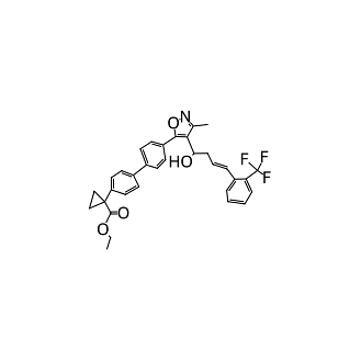 CCOC(=O)C1(c2ccc(-c3ccc(-c4onc(C)c4C(O)CC=Cc4ccccc4C(F)(F)F)cc3)cc2)CC1